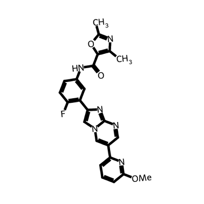 COc1cccc(-c2cnc3nc(-c4cc(NC(=O)c5oc(C)nc5C)ccc4F)cn3c2)n1